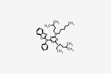 CCCCCCN(CCC(C)C)c1nc(N(CC)CCC(C)C)nc(N(c2ccccc2)c2nc3ccccc3o2)n1